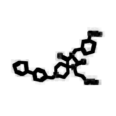 COCCN1C(=O)N(Cc2cccc(OC)c2)C(=O)C12CCN(Cc1ccc(-c3ccccc3)cc1)CC2